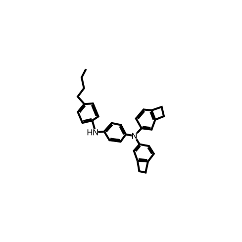 CCCCc1ccc(Nc2ccc(N(c3ccc4c(c3)CC4)c3ccc4c(c3)CC4)cc2)cc1